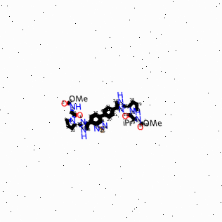 COC(=O)NCC(=O)N1CCC[C@H]1c1nc(-c2ccc(-c3ccc(-c4c[nH]c([C@@H]5CCCN5C(=O)[C@@H](NC(=O)OC)C(C)C)n4)cc3)c3nsnc23)c[nH]1